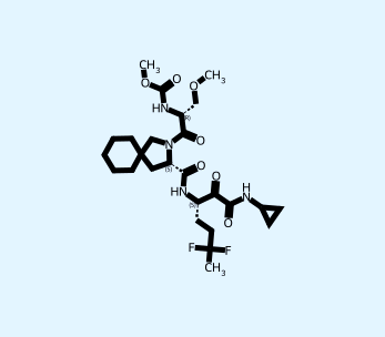 COC[C@@H](NC(=O)OC)C(=O)N1CC2(CCCCC2)C[C@H]1C(=O)N[C@@H](CCC(C)(F)F)C(=O)C(=O)NC1CC1